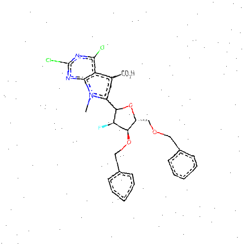 Cn1c(C2O[C@H](COCc3ccccc3)[C@@H](OCc3ccccc3)[C@H]2F)c(C(=O)O)c2c(Cl)nc(Cl)nc21